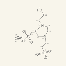 O=P([O-])([O-])[O-].O=S(=O)([O-])CCN1CCN(CCO)CC1.[Ca+2].[Ca+2]